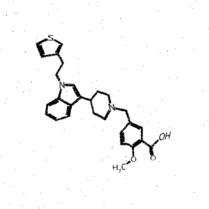 COc1ccc(CN2CCC(c3cn(CCc4ccsc4)c4ccccc34)CC2)cc1C(=O)O